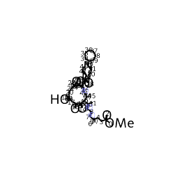 COC(=O)CC[C@@H](C)/C=C/C=C(\C)[C@H]1C(=O)C(=O)C[C@@H](O)CC[C@](C)(O)[C@@H](OC(=O)N2CCN(C3CCCCCC3)CC2)/C=C/[C@@H]1C